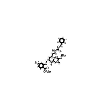 COC(=O)c1ccc(Br)cc1OC[C@H](CCCCNC(=O)OCc1ccccc1)NC(=O)CN(C)C(=O)OC(C)(C)C